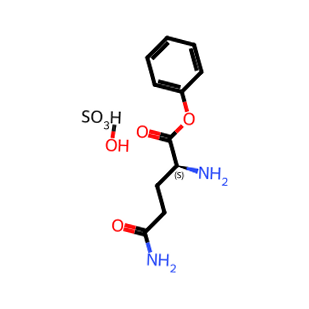 NC(=O)CC[C@H](N)C(=O)Oc1ccccc1.O=S(=O)(O)O